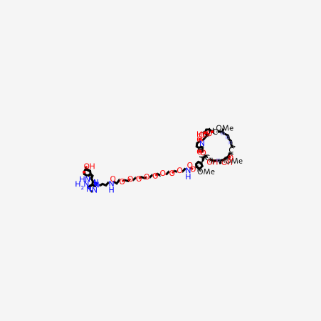 CO[C@H]1C[C@@H]2CC[C@@H](C)[C@@](O)(O2)C(=O)C(=O)N2CCCC[C@H]2C(=O)O[C@H]([C@H](C)C[C@@H]2CC[C@@H](OC(=O)NCCOCCOCCOCCOCCOCCOCCOCCOCCC(=O)NCCCCn3nc(-c4cc5cc(O)ccc5[nH]4)c4c(N)ncnc43)[C@H](OC)C2)C[C@@H](O)[C@H](C)/C=C(\C)[C@@H](O)[C@@H](OC)C(=O)[C@H](C)C[C@H](C)/C=C/C=C/C=C/1C